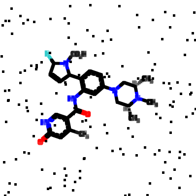 C[C@@H]1CN(c2ccc(C3C=CC(F)N3C(=O)O)c(NC(=O)c3c[nH]c(=O)cc3C(F)(F)F)c2)C[C@H](C)N1C